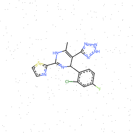 CC1=C(c2nn[nH]n2)C(c2ccc(F)cc2Cl)N=C(c2nccs2)N1